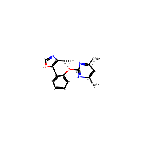 CCOC(=O)c1ncoc1-c1ccccc1Oc1nc(OC)cc(OC)n1